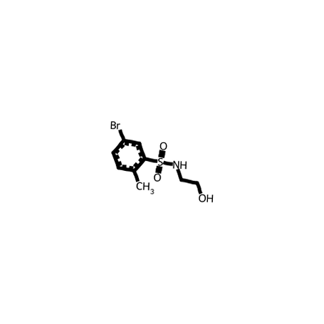 Cc1ccc(Br)cc1S(=O)(=O)NCCO